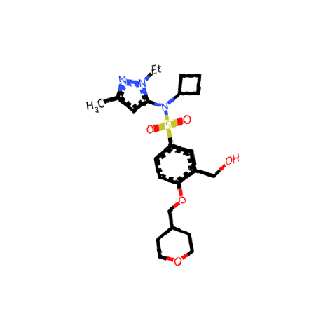 CCn1nc(C)cc1N(C1CCC1)S(=O)(=O)c1ccc(OCC2CCOCC2)c(CO)c1